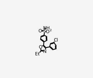 CCc1nc(-c2cccc(Cl)c2)c(-c2ccc(S(N)(=O)=O)cc2)o1